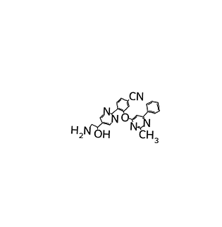 Cc1nc(Oc2cc(C#N)ccc2-c2ncc(C(O)CN)cn2)cc(-c2ccccc2)n1